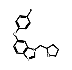 Fc1ccc(Oc2ccc3ncn(CC4CCCO4)c3c2)cc1